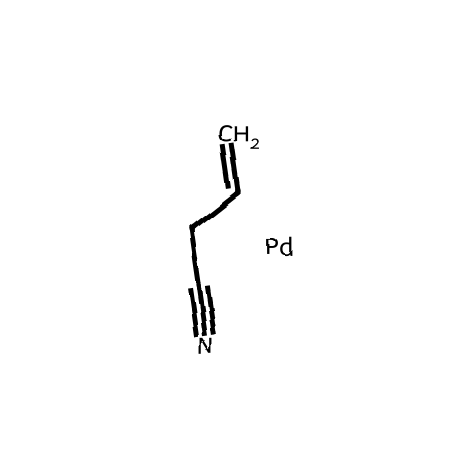 C=CCC#N.[Pd]